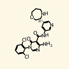 Nc1ncn(-c2c(Cl)cccc2Cl)c(=O)c1C(=O)Nc1cncc([C@@H]2COCCCN2)c1